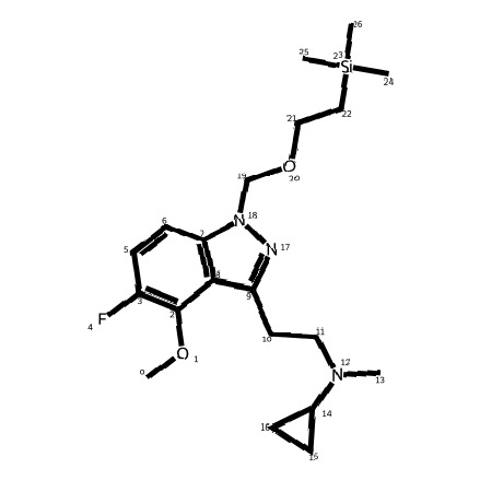 COc1c(F)ccc2c1c(CCN(C)C1CC1)nn2COCC[Si](C)(C)C